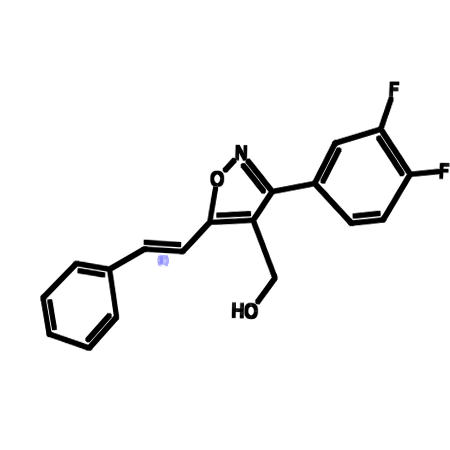 OCc1c(-c2ccc(F)c(F)c2)noc1/C=C/c1ccccc1